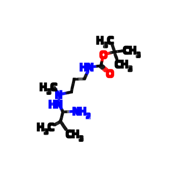 CC(C)C(N)NN(C)CCCNC(=O)OC(C)(C)C